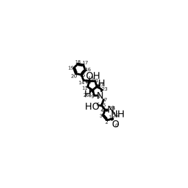 O=c1ccc(C(O)CN2C[C@@H]3C[C@](O)(Cc4ccccc4)C[C@@H]3C2)n[nH]1